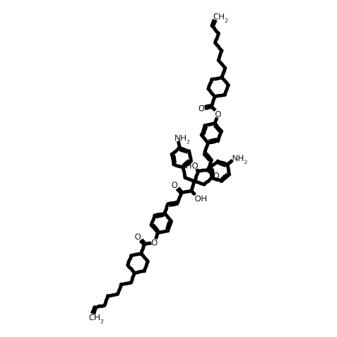 C=CCCCCCC1CCC(C(=O)Oc2ccc(/C=C/C(=O)C(O)C(Cc3ccc(N)cc3)(Cc3ccc(N)cc3)C(O)C(=O)/C=C/c3ccc(OC(=O)C4CCC(CCCCCC=C)CC4)cc3)cc2)CC1